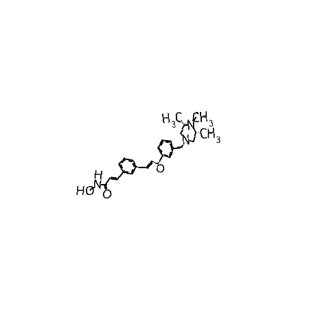 C[C@@H]1CN(Cc2cccc(C(=O)/C=C/c3cccc(/C=C/C(=O)NO)c3)c2)C[C@H](C)N1C